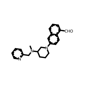 CN(Cc1ccccn1)C1CCCN(c2ccc3c(C=O)cccc3c2)C1